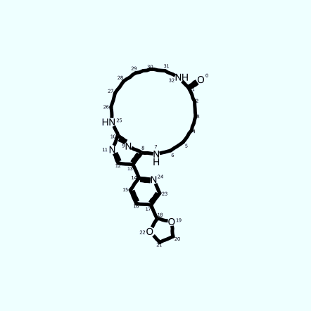 O=C1CCCCCNc2nc(ncc2-c2ccc(C3OCCO3)cn2)NCCCCCCN1